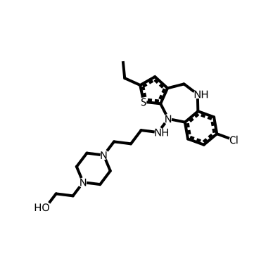 CCc1cc2c(s1)N(NCCCN1CCN(CCO)CC1)c1ccc(Cl)cc1NC2